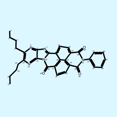 CCCCc1nc2nc3c4ccc5c6c(ccc(c(=O)n3c2nc1CCCC)c64)C(=O)N(c1ccccc1)C5=O